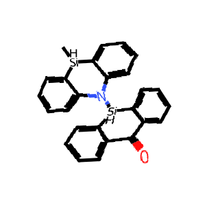 C[SiH]1c2ccccc2N([SiH]2c3ccccc3C(=O)c3ccccc32)c2ccccc21